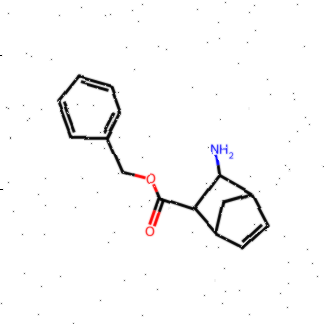 NC1C2C=CC(C2)C1C(=O)OCc1ccccc1